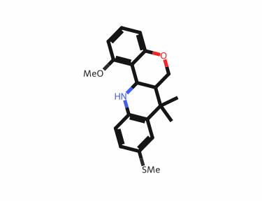 COc1cccc2c1C1Nc3ccc(SC)cc3C(C)(C)C1CO2